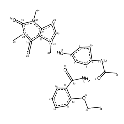 CC(=O)Nc1ccc(O)cc1.CCOc1ccccc1C(N)=O.Cn1c(=O)c2c(ncn2C)n(C)c1=O